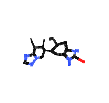 Cc1c(-c2cc3[nH]c(=O)[nH]c3cc2C(C)C)cn2ncnc2c1C